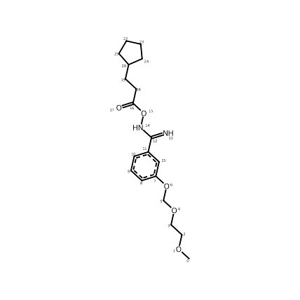 COCCOCOc1cccc(C(=N)NOC(=O)CCC2CCCC2)c1